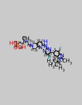 Cc1nc2c(F)cc(-c3nc(Nc4ccc5c(n4)CCN(CCN(C)CCP(=O)(O)O)C5)ncc3F)cc2n1C(C)(C)C